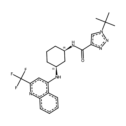 CC(C)(C)n1cc(C(=O)N[C@@H]2CCC[C@H](Nc3cc(C(F)(F)F)nc4ccccc34)C2)nn1